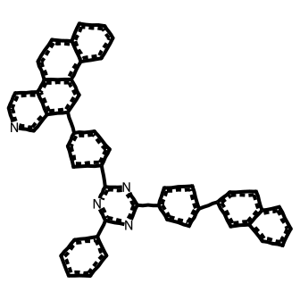 c1ccc(-c2nc(-c3ccc(-c4ccc5ccccc5c4)cc3)nc(-c3ccc(-c4cc5c6ccccc6ccc5c5ccncc45)cc3)n2)cc1